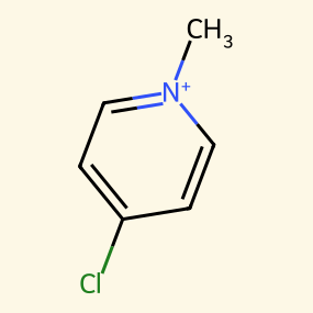 C[n+]1ccc(Cl)cc1